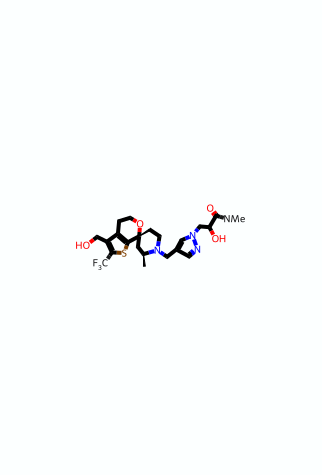 CNC(=O)C(O)Cn1cc(CN2CC[C@]3(C[C@@H]2C)OCCc2c3sc(C(F)(F)F)c2CO)cn1